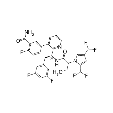 CCC(C(=O)N[C@@H](Cc1cc(F)cc(F)c1)c1ncccc1-c1ccc(F)c(C(N)=O)c1)n1cc(C(F)F)cc1C(F)F